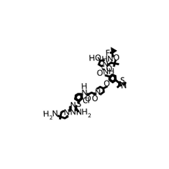 Cc1ncsc1-c1ccc(CNC(=O)[C@@H]2C[C@@H](O)CN2C(=O)[C@@H](NC(=O)C2(F)CC2)C(C)(C)C)c(OCC2CCN(C(=O)CC(=O)Nc3cccc(Sc4ncc(N5CCC(C)(CN)CC5)nc4N)c3Cl)CC2)c1